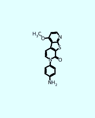 COc1ccnc2sc3c(=O)n(-c4ccc(N)cc4)ccc3c12